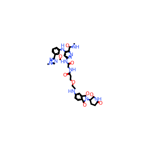 CNC(=O)c1nnc(NC(=O)CNC(=O)CCOCCNc2ccc3c(c2)C(=O)N(C2CCC(=O)NC2=O)C3=O)cc1Nc1cccc(-c2ncn(C)n2)c1OC